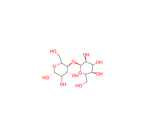 OCC1O[C@@H](O[C@@H]2C(CO)O[C@@H](O)C(O)[C@H]2O)[C@@H](O)C(O)[C@H]1O